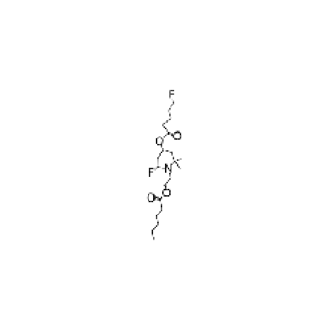 CCCCCC(=O)OCCN1C(F)CC(OC(=O)CCCCF)CC1(C)C